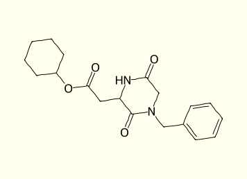 O=C1CN(Cc2ccccc2)C(=O)C(CC(=O)OC2CCCCC2)N1